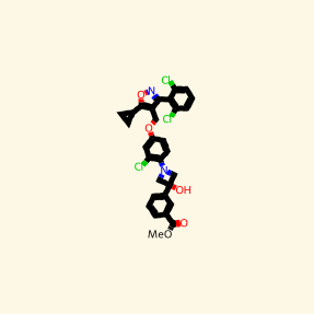 COC(=O)c1cccc(C2(O)CN(c3ccc(OCc4c(-c5c(Cl)cccc5Cl)noc4C4CC4)cc3Cl)C2)c1